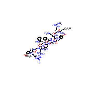 CC(C)[C@@H](NC(=O)[C@H](Cc1ccc(O)cc1)NC(=O)[C@@H](CCCCN)NC(=O)[C@H](CCCNC(=N)N)NC(=O)[C@@H](N)CCC(=O)O)C(=O)N[C@@H](Cc1ccccc1)C(=O)N[C@H](Cc1c[nH]cn1)C(=O)N[C@@H](Cc1c[nH]c2ccccc12)C(=O)N[C@@H](CCCNC(=N)N)C(=O)NCC(=O)N[C@@H](Cc1ccc(O)cc1)C(=O)N[C@@H](CCCNC(=N)N)C(=O)O